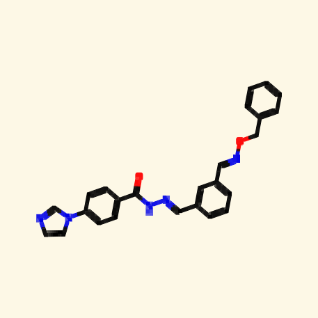 O=C(N/N=C/c1cccc(/C=N/OCc2ccccc2)c1)c1ccc(-n2ccnc2)cc1